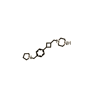 c1cc(C2CC(CN3CCNCC3)C2)ccc1CN1CCCC1